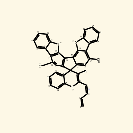 C=C/C=C\C1=C(C)C2(c3ccccc3S1)c1cc(Cl)c3c(sc4ccccc43)c1-c1c2cc(Cl)c2c1sc1ccccc12